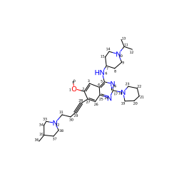 COc1cc2c(NC3CCN(C(C)C)CC3)nc(N3CCCCC3)nc2cc1C#CCCN1CCC(C)CC1